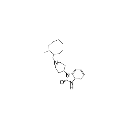 CC1CCCCCCC1CN1CCC(n2c(=O)[nH]c3ccccc32)CC1